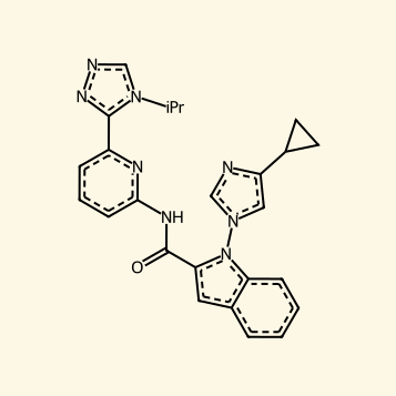 CC(C)n1cnnc1-c1cccc(NC(=O)c2cc3ccccc3n2-n2cnc(C3CC3)c2)n1